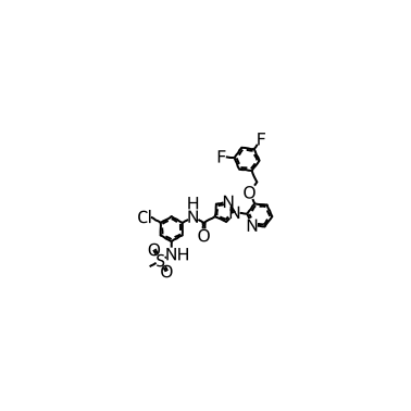 CS(=O)(=O)Nc1cc(Cl)cc(NC(=O)c2cnn(-c3ncccc3OCc3cc(F)cc(F)c3)c2)c1